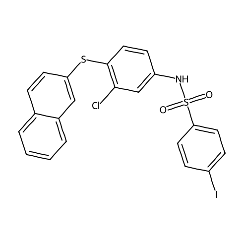 O=S(=O)(Nc1ccc(Sc2ccc3ccccc3c2)c(Cl)c1)c1ccc(I)cc1